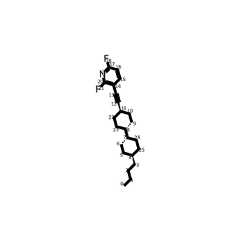 CCCC[C@H]1CC[C@H]([C@H]2CC[C@H](C#Cc3ccc(F)nc3F)CC2)CC1